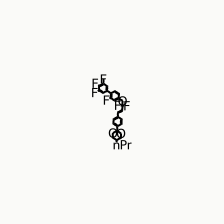 CCCC1COC(c2ccc(/C=C/C(F)(F)Oc3ccc(-c4cc(F)c(F)c(F)c4)c(F)c3)cc2)OC1